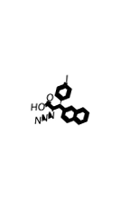 [N-]=[N+]=N[C@H](C(=O)O)[C@H](c1ccc(I)cc1)c1ccc2ccccc2c1